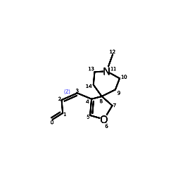 C=C/C=C\C1=COCC12CCN(C)CC2